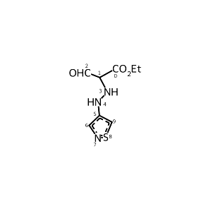 CCOC(=O)C(C=O)NNc1cnsc1